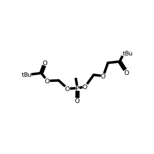 CC(C)(C)C(=O)COCOP(C)(=O)OCOC(=O)C(C)(C)C